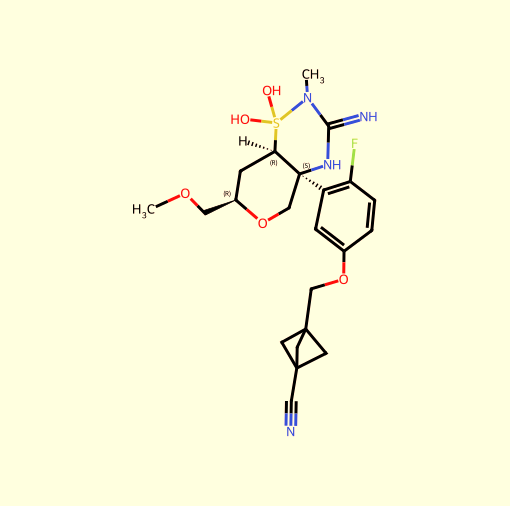 COC[C@H]1C[C@@H]2[C@](c3cc(OCC45CC(C#N)(C4)C5)ccc3F)(CO1)NC(=N)N(C)S2(O)O